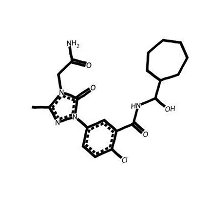 Cc1nn(-c2ccc(Cl)c(C(=O)NC(O)C3CCCCCC3)c2)c(=O)n1CC(N)=O